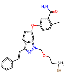 Cc1ccc(Oc2ccc3c(/C=C/c4ccccc4)nn(COCC[SiH2]S)c3c2)cc1C(N)=O